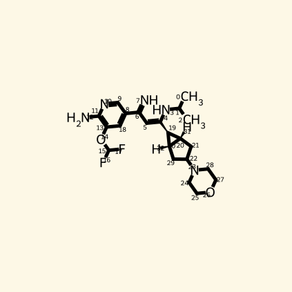 CC(C)N/C(=C\C(=N)c1cnc(N)c(OC(F)F)c1)[C@H]1[C@@H]2CC(N3CCOCC3)C[C@@H]21